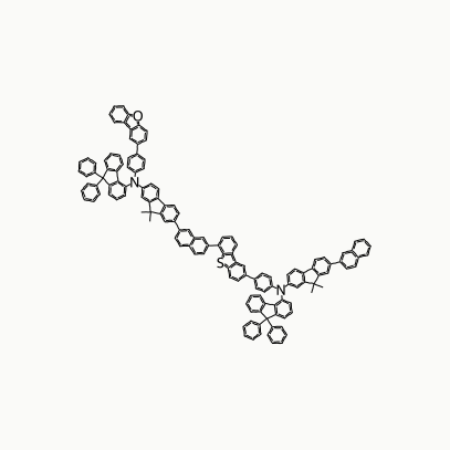 CC1(C)c2cc(-c3ccc4ccccc4c3)ccc2-c2ccc(N(c3ccc(-c4ccc5sc6c(-c7ccc8ccc(-c9ccc%10c(c9)C(C)(C)c9cc(N(c%11ccc(-c%12ccc%13oc%14ccccc%14c%13c%12)cc%11)c%11cccc%12c%11-c%11ccccc%11C%12(c%11ccccc%11)c%11ccccc%11)ccc9-%10)cc8c7)cccc6c5c4)cc3)c3cccc4c3-c3ccccc3C4(c3ccccc3)c3ccccc3)cc21